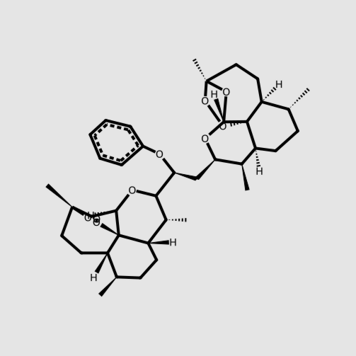 C[C@H]1[C@@H](C[C@H](Oc2ccccc2)C2O[C@@H]3O[C@]4(C)CC[C@H]5[C@H](C)CC[C@@H]([C@H]2C)[C@@]35OO4)O[C@@H]2O[C@]3(C)CC[C@H]4[C@H](C)CC[C@@H]1[C@@]24OO3